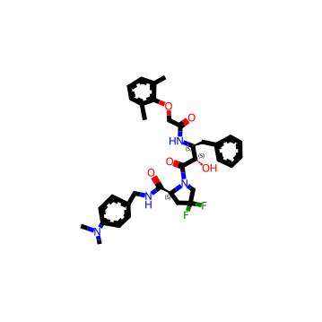 Cc1cccc(C)c1OCC(=O)N[C@@H](Cc1ccccc1)[C@H](O)C(=O)N1CC(F)(F)C[C@H]1C(=O)NCc1ccc(N(C)C)cc1